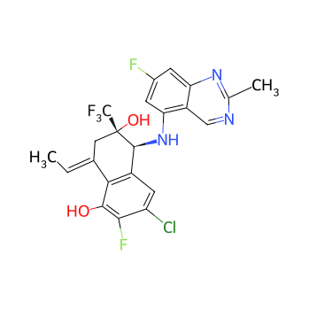 C/C=C1\C[C@@](O)(C(F)(F)F)[C@@H](Nc2cc(F)cc3nc(C)ncc23)c2cc(Cl)c(F)c(O)c21